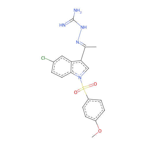 COc1ccc(S(=O)(=O)n2cc(C(C)=NNC(=N)N)c3cc(Cl)ccc32)cc1